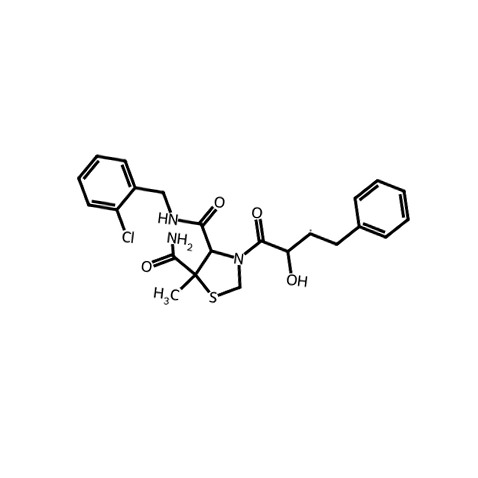 CC1(C(N)=O)SCN(C(=O)C(O)[CH]Cc2ccccc2)C1C(=O)NCc1ccccc1Cl